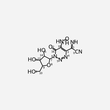 N#CC(=N)c1nnn(C2OC(CO)C(O)C2O)c(=O)c1NO